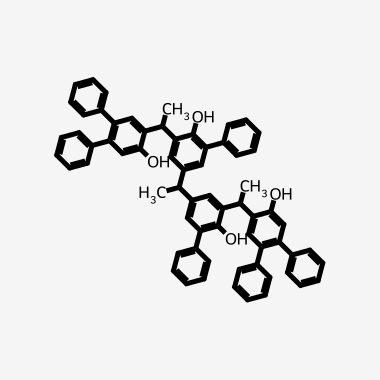 CC(c1cc(-c2ccccc2)c(O)c(C(C)c2cc(-c3ccccc3)c(-c3ccccc3)cc2O)c1)c1cc(-c2ccccc2)c(O)c(C(C)c2cc(-c3ccccc3)c(-c3ccccc3)cc2O)c1